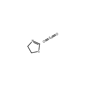 [C]1=NCCS1.[O]=[Sn]=[O]